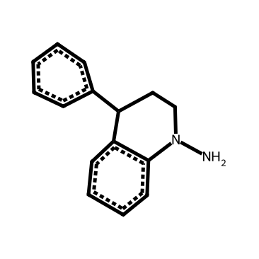 NN1CCC(c2ccccc2)c2ccccc21